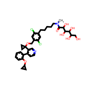 CN(CCCCCc1cc(Cl)c(COC2(c3cnccc3-c3ccccc3OC3CC3)CC2)cc1Cl)C(=O)C(O)C(O)C(O)C(O)CO